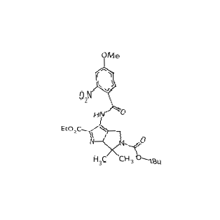 CCOC(=O)C1=NC2C(=C1NC(=O)c1ccc(OC)cc1[N+](=O)[O-])CN(C(=O)OC(C)(C)C)C2(C)C